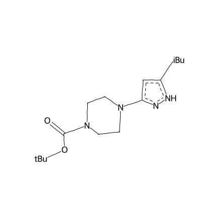 CCC(C)c1cc(N2CCN(C(=O)OC(C)(C)C)CC2)n[nH]1